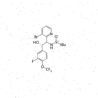 CC(C)(C)[S+]([O-])NC(c1ncccc1Br)[C@@H](O)c1ccc(OC(F)(F)F)c(F)c1